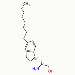 CCCCCCCCc1ccc2c(c1)CC[C@H]2C[C@H](N)CO